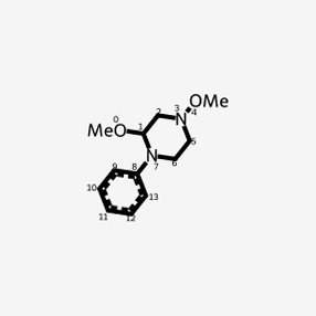 COC1CN(OC)CCN1c1ccccc1